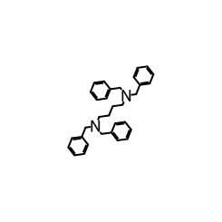 c1ccc(CN(CCCCN(Cc2ccccc2)Cc2ccccc2)Cc2ccccc2)cc1